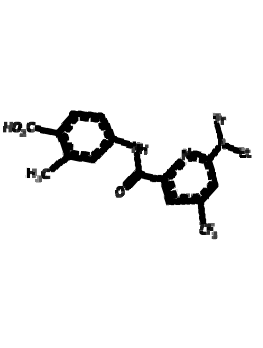 CCN(c1cc(C(F)(F)F)cc(C(=O)Nc2ccc(C(=O)O)c(C)c2)n1)C(C)C